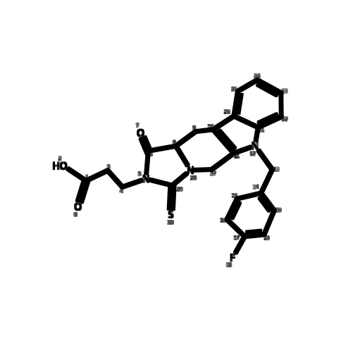 O=C(O)CCN1C(=O)C2Cc3c(n(Cc4ccc(F)cc4)c4ccccc34)CN2C1=S